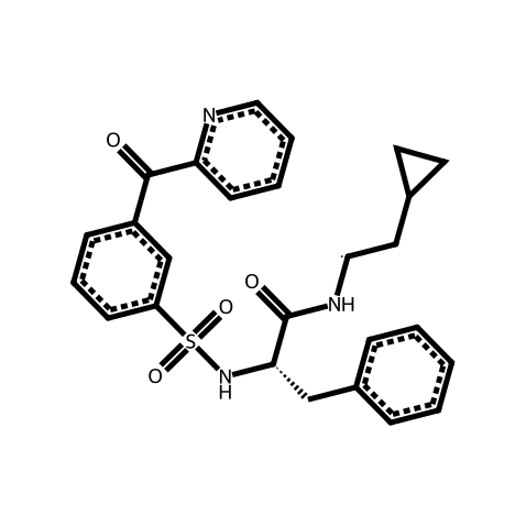 O=C(c1cccc(S(=O)(=O)N[C@@H](Cc2ccccc2)C(=O)N[CH]CC2CC2)c1)c1ccccn1